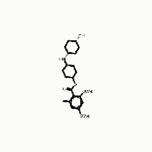 COc1cc(C)c(C(=O)OC2CCC(N[C@H]3CC[C@@H](O)CC3)CC2)c(OC)c1